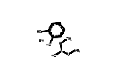 COB(O)OC.Oc1ccccc1O.[KH]